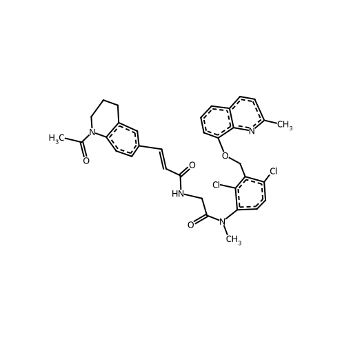 CC(=O)N1CCCc2cc(C=CC(=O)NCC(=O)N(C)c3ccc(Cl)c(COc4cccc5ccc(C)nc45)c3Cl)ccc21